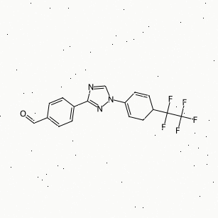 O=Cc1ccc(-c2ncn(C3=CCC(C(F)(F)C(F)(F)F)C=C3)n2)cc1